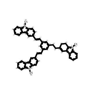 CCn1c2c(c3ccccc31)C=C(CCc1cc(/C=C/c3ccc4c(c3)c3ccccc3n4CC)cc(/C=C/c3ccc4c(c3)c3ccccc3n4CC)c1)CC2